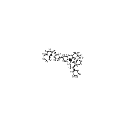 CC1(C)c2ccccc2-c2c(N(c3ccc(-c4ccccc4)cc3)c3ccc(-c4ccc5c(c4)sc4ccc6ccccc6c45)cc3)cccc21